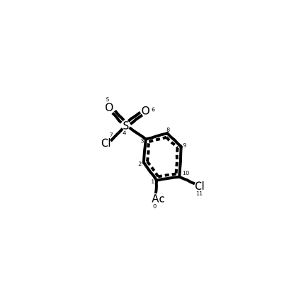 CC(=O)c1cc(S(=O)(=O)Cl)ccc1Cl